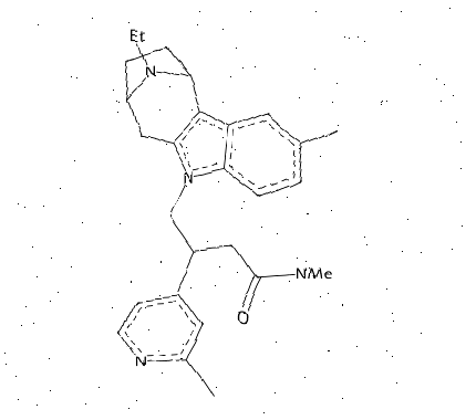 CCN1C2CCC1c1c(n(CC(CC(=O)NC)c3ccnc(C)c3)c3ccc(C)cc13)C2